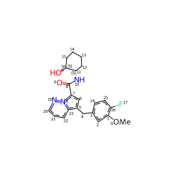 COc1cc(Cc2cc(C(=O)N[C@H]3CCCC[C@@H]3O)n3ncccc23)ccc1F